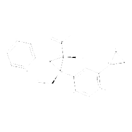 CC[C@@]1(c2ccnc(C3CC3)c2)[C@H](c2ccccc2)[C@]1(F)C(=O)O